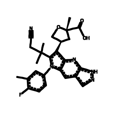 Cc1cc(-n2c(C(C)(C)CC#N)c([C@H]3CO[C@](C)(C(=O)O)C3)c3nc4[nH]ncc4cc32)ccc1F